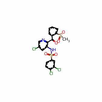 CS(=O)(=O)c1ccccc1C(=O)c1ncc(Cl)cc1NS(=O)(=O)c1ccc(Cl)c(Cl)c1